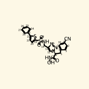 N#Cc1ccc(CC(C(=O)NO)n2cc(CNS(=O)(=O)c3ccc(-c4ccccc4)s3)nn2)cc1